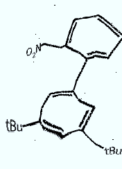 CC(C)(C)c1cc(-c2ccccc2[N+](=O)[O-])cc(C(C)(C)C)c1